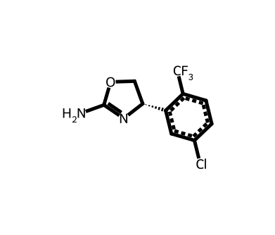 NC1=N[C@@H](c2cc(Cl)ccc2C(F)(F)F)CO1